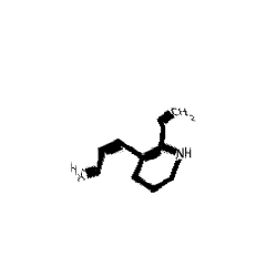 C=C/C=C\C1=C(C=C)NCCC1